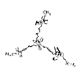 CCOC(=O)NCCCCCCn1c(=O)n(CCCCCCNC(=O)OCC)c(=O)n(CCCCCCNC(=O)OCCSC)c1=O